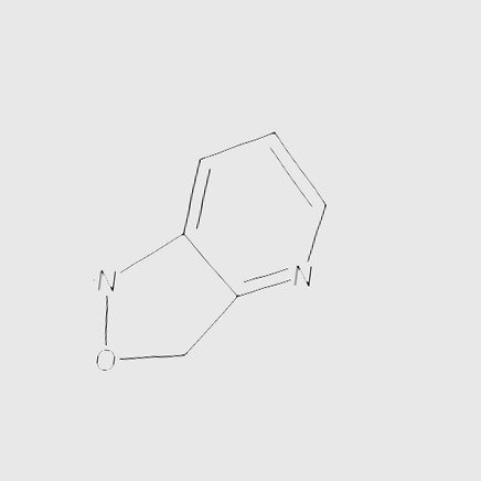 c1cnc2c(c1)[N]OC2